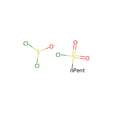 CCCCCS(=O)(=O)Cl.[O-][S+](Cl)Cl